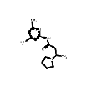 Cc1cc(C)nc(NC(=O)CC(C)N2CCCC2)c1